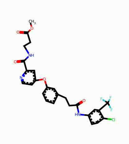 COC(=O)CCNC(=O)c1cc(Oc2cccc(CCC(=O)Nc3ccc(Cl)c(C(F)(F)F)c3)c2)ccn1